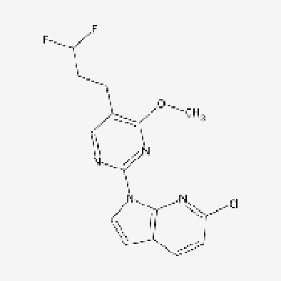 COc1nc(-n2ccc3ccc(Cl)nc32)ncc1CCC(F)F